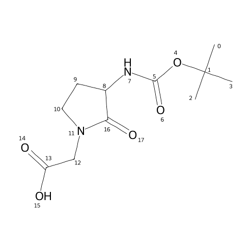 CC(C)(C)OC(=O)NC1CCN(CC(=O)O)C1=O